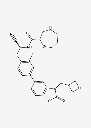 N#C[C@H](Cc1ccc(-c2ccc3oc(=O)n(CC4COC4)c3c2)cc1F)NC(=O)[C@@H]1CNCCCO1